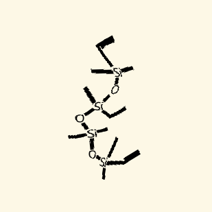 C=C[Si](C)(C)O[Si](C)(C)O[Si](C)(CC)O[Si](C)(C)C=C